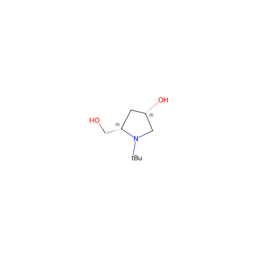 CC(C)(C)N1C[C@@H](O)C[C@H]1CO